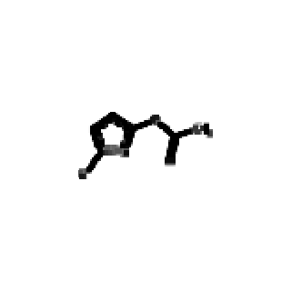 CC(=O)Oc1ccc(Cl)s1